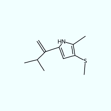 C=C(c1cc(SC)c(C)[nH]1)C(C)C